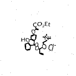 C=C(Oc1ccc(C(=O)c2ccccc2)c(O)c1)C(=O)OCC.C=CC(=O)OCC[N+](C)(C)C.[Cl-]